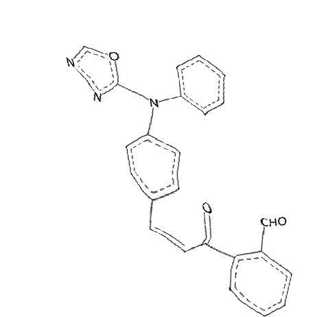 O=Cc1ccccc1C(=O)/C=C\c1ccc(N(c2ccccc2)c2nnco2)cc1